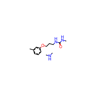 CNC.CNC(=O)NCCCOc1cccc(C)c1